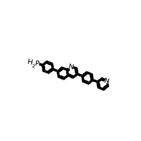 Pc1ccc(-c2ccc3cc(-c4ccc(-c5cccnc5)cc4)cnc3c2)cc1